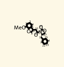 COc1cccc2c1OCC2CC(=O)N1C(=O)OC[C@@H]1Cc1ccccc1